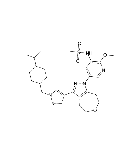 COc1ncc(-n2nc(-c3cnn(CC4CCN(C(C)C)CC4)c3)c3c2CCOCC3)cc1NS(C)(=O)=O